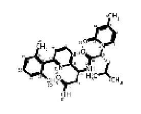 Cc1ccn([C@H](CC(C)C)C(=O)N[C@@H](CC(=O)O)c2nccc(-c3c(C)cccc3C)n2)c(=O)c1